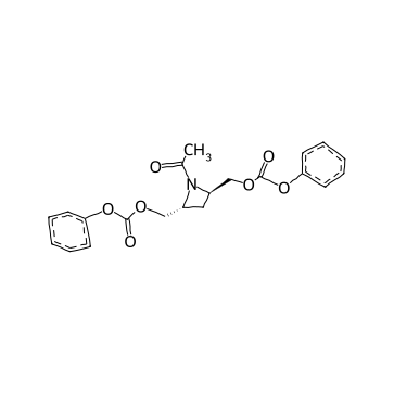 CC(=O)N1[C@@H](COC(=O)Oc2ccccc2)C[C@@H]1COC(=O)Oc1ccccc1